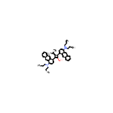 CC(C)CCN(CCC(C)C)c1ccc(C2=C(O)C(c3ccc(N(CCC(C)C)CCC(C)C)c4cc5ccccc5cc34)C2=C(C#N)C#N)c2cc3ccccc3cc12